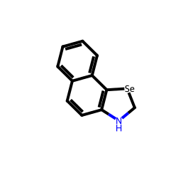 c1ccc2c3c(ccc2c1)NC[Se]3